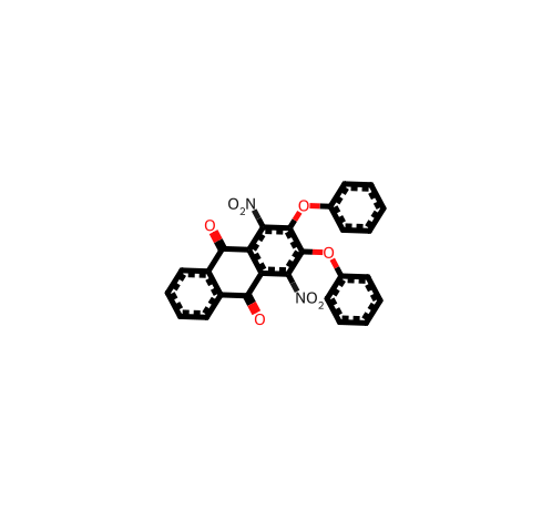 O=C1c2ccccc2C(=O)c2c1c([N+](=O)[O-])c(Oc1ccccc1)c(Oc1ccccc1)c2[N+](=O)[O-]